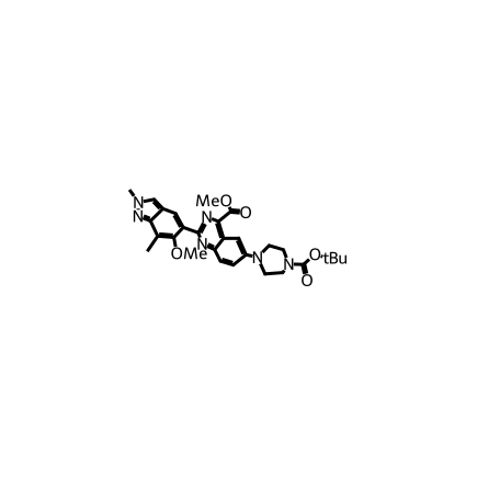 COC(=O)c1nc(-c2cc3cn(C)nc3c(C)c2OC)nc2ccc(N3CCN(C(=O)OC(C)(C)C)CC3)cc12